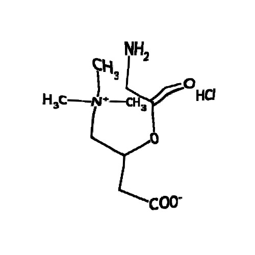 C[N+](C)(C)CC(CC(=O)[O-])OC(=O)CN.Cl